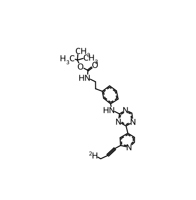 [2H]CC#Cc1cc(-c2ncnc(Nc3cccc(CCNC(=O)OC(C)(C)C)c3)n2)ccn1